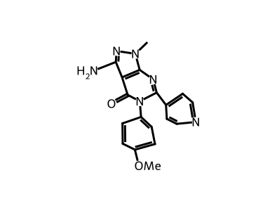 COc1ccc(-n2c(-c3ccncc3)nc3c(c(N)nn3C)c2=O)cc1